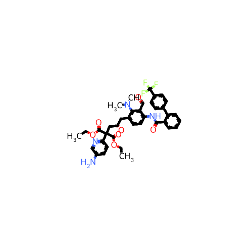 CCOC(=O)C(CC(=O)Cc1ccc(NC(=O)c2ccccc2-c2ccc(C(F)(F)F)cc2)c(C=O)c1N(C)C)(C(=O)OCC)c1ccc(N)cn1